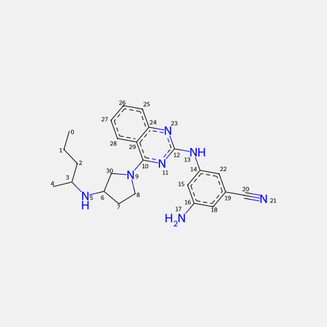 CCCC(C)NC1CCN(c2nc(Nc3cc(N)cc(C#N)c3)nc3ccccc23)C1